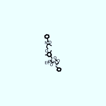 CCO[C@@H](Cc1cc(C)c(OCCc2nc(-c3ccccc3)oc2C)c(C)c1)C(=O)N1C(=O)OC[C@@H]1Cc1ccccc1